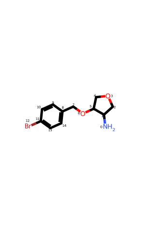 NC1COCC1OCc1ccc(Br)cc1